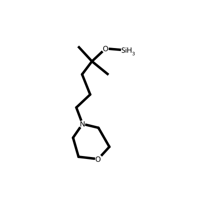 CC(C)(CCCN1CCOCC1)O[SiH3]